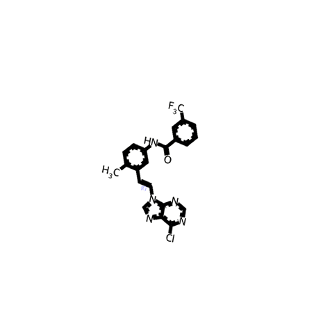 Cc1ccc(NC(=O)c2cccc(C(F)(F)F)c2)cc1/C=C/n1cnc2c(Cl)ncnc21